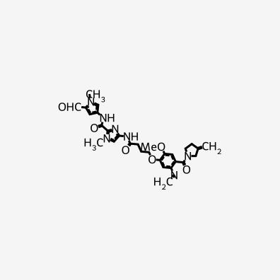 C=Nc1cc(OCCCC(=O)Nc2cn(C)c(C(=O)Nc3cc(C=O)n(C)c3)n2)c(OC)cc1C(=O)N1CCC(=C)C1